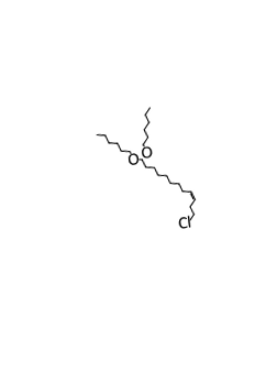 CCCCCCOC(CCCCCCC/C=C\CCCl)OCCCCCC